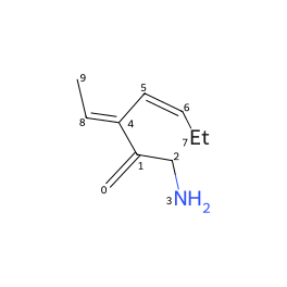 C=C(CN)C(/C=C\CC)=C/C